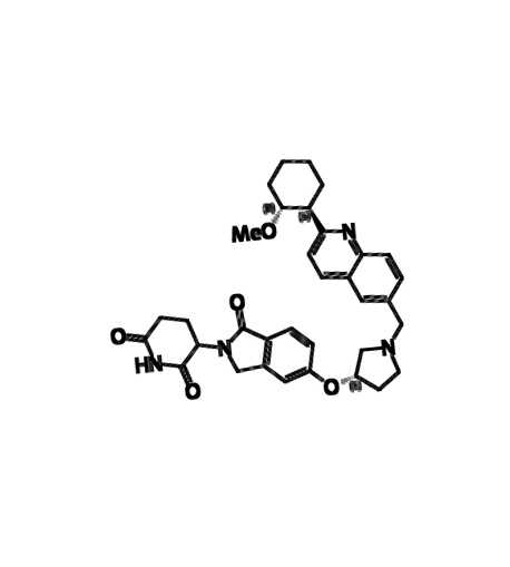 CO[C@@H]1CCCC[C@H]1c1ccc2cc(CN3CC[C@H](Oc4ccc5c(c4)CN(C4CCC(=O)NC4=O)C5=O)C3)ccc2n1